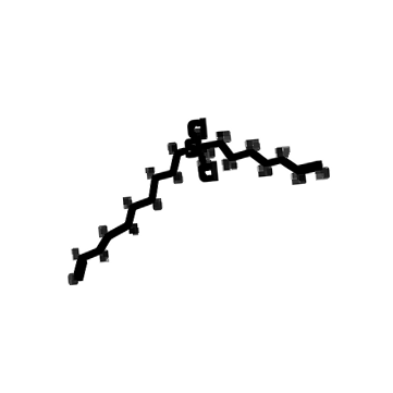 C=CCCCCCCCC[Si](Cl)(Cl)CCCCCC=C